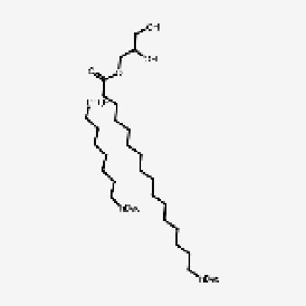 CCCCCCCCCCCCCCCCCC(=O)O.CCCCCCCCCCCCCCCCCCCCCCCCCC(=O)OCC(O)CO